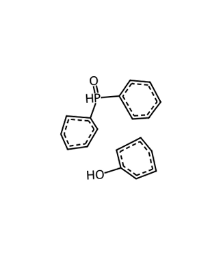 O=[PH](c1ccccc1)c1ccccc1.Oc1ccccc1